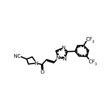 N#CC1CN(C(=O)C=Cn2cnc(-c3cc(C(F)(F)F)cc(C(F)(F)F)c3)n2)C1